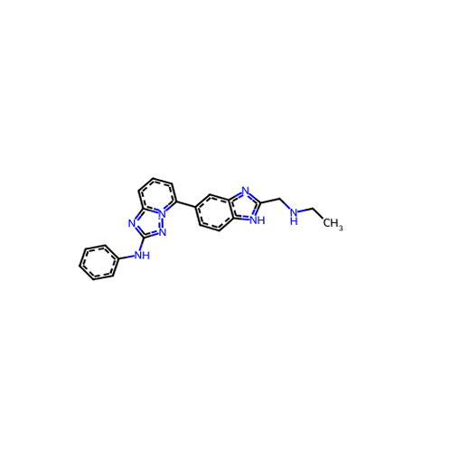 CCNCc1nc2cc(-c3cccc4nc(Nc5ccccc5)nn34)ccc2[nH]1